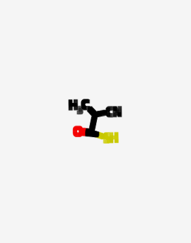 CC(C#N)C(=O)S